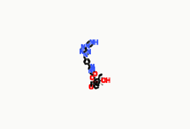 C=C[C@]1(C)C[C@@H](OC(=O)Cn2cc(-c3ccc(Cn4cnc5c(N6CCNCC6)ncnc54)cc3)nn2)[C@]2(C)[C@H](C)CC[C@]3(CCC(=O)[C@H]32)[C@@H](C)[C@@H]1O